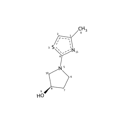 Cc1csc(N2CC[C@@H](O)C2)n1